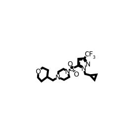 O=S(=O)(c1cc(C(F)(F)F)nn1CC1CC1)N1CCN(CC2CCOCC2)CC1